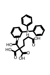 O=C(O)C(CCC(C(=O)O)(C(=O)O)C(=O)O)[PH](c1ccccc1)(c1ccccc1)c1ccccc1